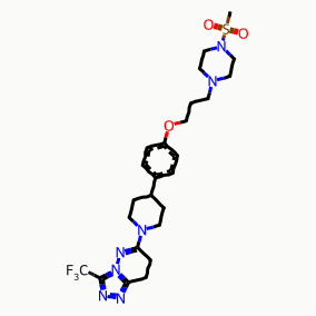 CS(=O)(=O)N1CCN(CCCOc2ccc(C3CCN(C4=Nn5c(nnc5C(F)(F)F)CC4)CC3)cc2)CC1